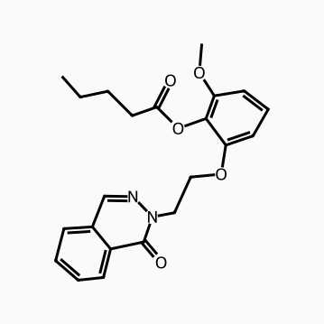 CCCCC(=O)Oc1c(OC)cccc1OCCn1ncc2ccccc2c1=O